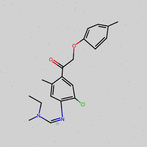 CCN(C)/C=N\c1cc(C)c(C(=O)COc2ccc(C)cc2)cc1Cl